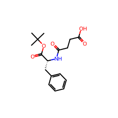 CC(C)(C)OC(=O)[C@@H](Cc1ccccc1)NC(=O)CCC(=O)O